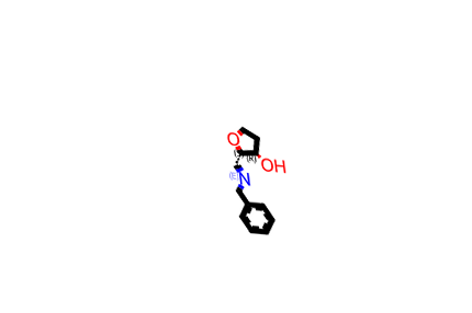 O[C@@H]1CCO[C@H]1/C=N/Cc1ccccc1